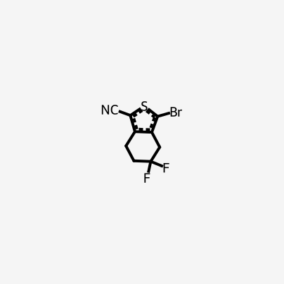 N#Cc1sc(Br)c2c1CCC(F)(F)C2